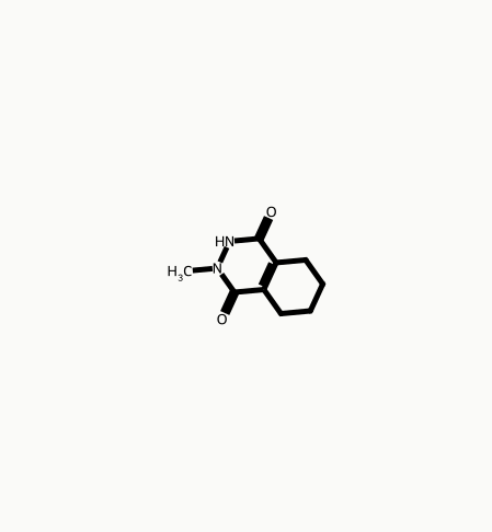 Cn1[nH]c(=O)c2c(c1=O)CCCC2